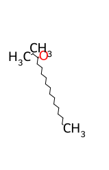 CCCCCCCCCCCCCCC(=O)C(C)C